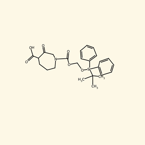 CC(C)(C)[Si](OCOC(=O)N1CCCC(C(=O)O)C(=O)C1)(c1ccccc1)c1ccccc1